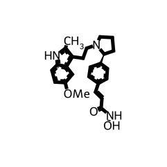 COc1ccc2[nH]c(C)c(CCN3CCC[C@H]3c3ccc(/C=C/C(=O)NO)cc3)c2c1